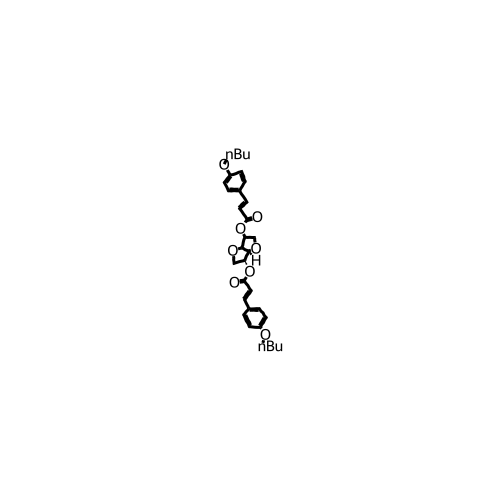 CCCCOc1ccc(/C=C/C(=O)OC2CO[C@H]3C2OC[C@H]3OC(=O)/C=C/c2ccc(OCCCC)cc2)cc1